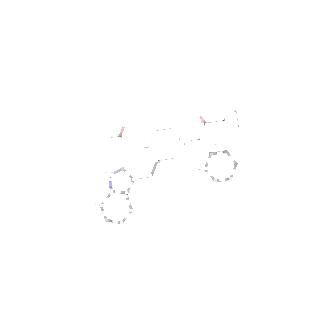 CC(=O)SC1CCN(C(C(=O)C2CC2)c2ccccc2F)C/C1=C/c1c[nH]c2ccccc12